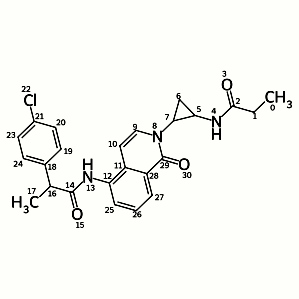 CCC(=O)NC1CC1n1ccc2c(NC(=O)C(C)c3ccc(Cl)cc3)cccc2c1=O